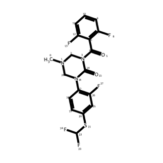 CN1CN(C(=O)c2c(F)cccc2F)C(=O)N(c2ccc(SC(F)F)cc2F)C1